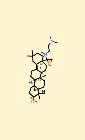 CN(C)CCN(C)C1([C@]23CCC(C)(C)CC2=C2CC[C@@H]4[C@@]5(C)CC[C@H](O)C(C)(C)[C@@H]5CC[C@@]4(C)[C@]2(C)CC3)CO1